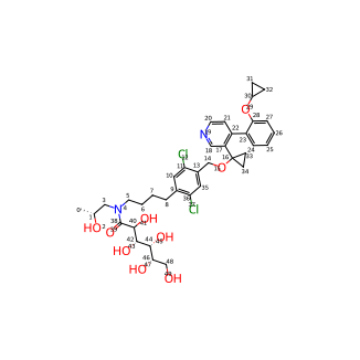 C[C@@H](O)CN(CCCCc1cc(Cl)c(COC2(c3cnccc3-c3ccccc3OC3CC3)CC2)cc1Cl)C(=O)C(O)[C@@H](O)[C@H](O)[C@@H](O)CO